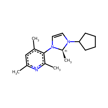 Cc1cc(C)c(N2C=CN(C3CCCC3)[C@H]2C)c(C)n1